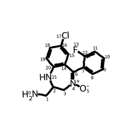 NCC1C[N+]([O-])=C(c2ccccc2F)c2cc(Cl)ccc2N1